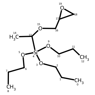 CCCO[Si](OCCC)(OCCC)C(C)OCC1CO1